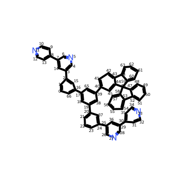 c1cc(-c2cncc(-c3ccncc3)c2)cc(-c2cc(-c3cccc(-c4cncc(-c5ccncc5)c4)c3)cc(-c3ccc4c(c3)C3(c5ccccc5-c5ccccc53)c3ccccc3-4)c2)c1